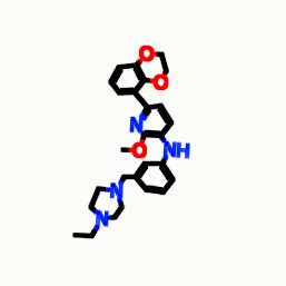 CCN1CCN(Cc2cccc(Nc3ccc(-c4cccc5c4OCCO5)nc3OC)c2)CC1